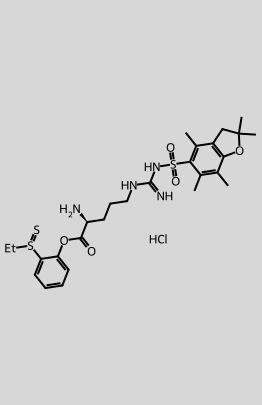 CCS(=S)c1ccccc1OC(=O)[C@@H](N)CCCNC(=N)NS(=O)(=O)c1c(C)c(C)c2c(c1C)CC(C)(C)O2.Cl